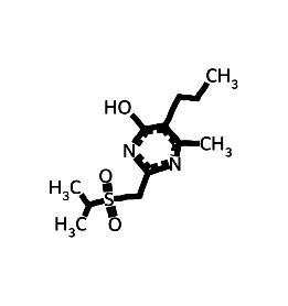 CCCc1c(C)nc(CS(=O)(=O)C(C)C)nc1O